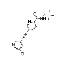 CC(C)(C)CNC(=O)c1ncc(C#Cc2cncc(Cl)c2)cn1